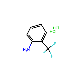 Cl.Cl.Nc1ccccc1C(F)(F)F